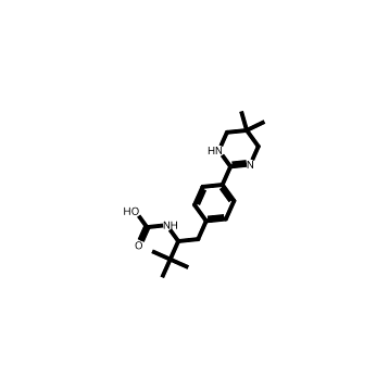 CC1(C)CN=C(c2ccc(CC(NC(=O)O)C(C)(C)C)cc2)NC1